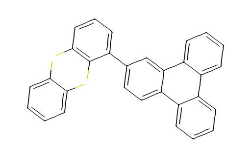 c1ccc2c(c1)Sc1cccc(-c3ccc4c5ccccc5c5ccccc5c4c3)c1S2